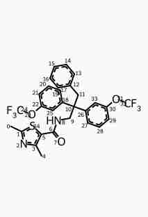 Cc1nc(C)c(C(=O)NCC(Cc2ccccc2)(c2cccc(OC(F)(F)F)c2)c2cccc(OC(F)(F)F)c2)s1